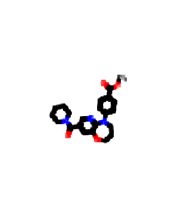 COC(=O)c1ccc(N2CCCOc3cc(C(=O)N4CCCCC4)cnc32)cc1